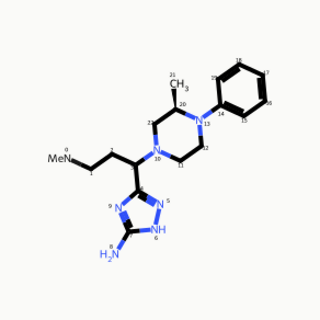 CNCCC(c1n[nH]c(N)n1)N1CCN(c2ccccc2)[C@H](C)C1